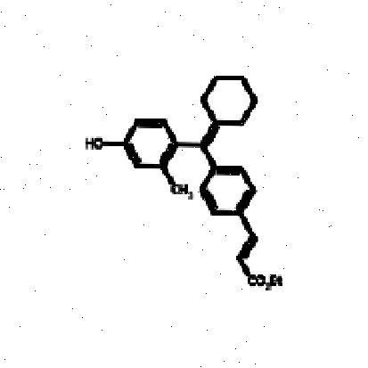 CCOC(=O)C=Cc1ccc(C(=C2CCCCC2)c2ccc(O)cc2C)cc1